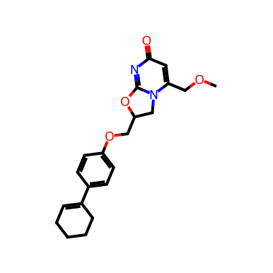 COCc1cc(=O)nc2n1CC(COc1ccc(C3=CCCCC3)cc1)O2